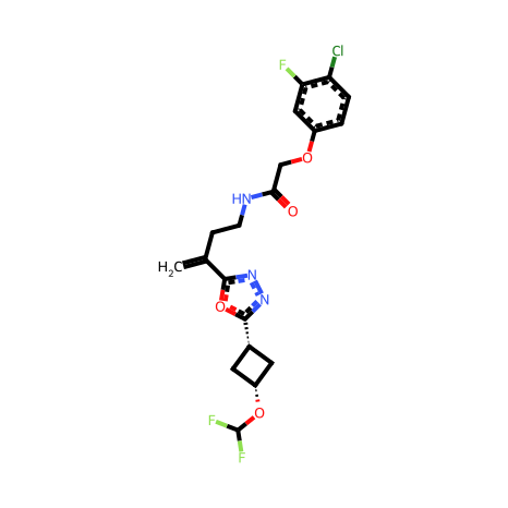 C=C(CCNC(=O)COc1ccc(Cl)c(F)c1)c1nnc([C@H]2C[C@@H](OC(F)F)C2)o1